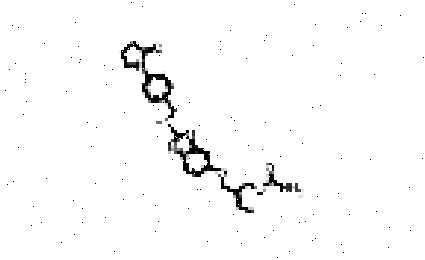 NC(=O)OC/C(=C\F)COc1ccc2nc(NCc3ccc(N4CCCC4=O)cc3)oc2c1